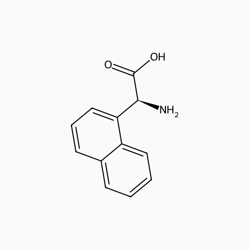 N[C@H](C(=O)O)c1cccc2ccccc12